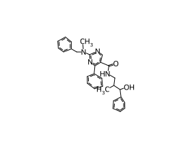 CC(CNC(=O)c1cnc(N(C)Cc2ccccc2)nc1-c1ccccc1)C(O)c1ccccc1